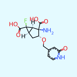 N[C@]1(C(=O)O)[C@H]2[C@@H](C[C@H]1OCc1cc[nH]c(=O)c1)[C@]2(F)C(=O)O